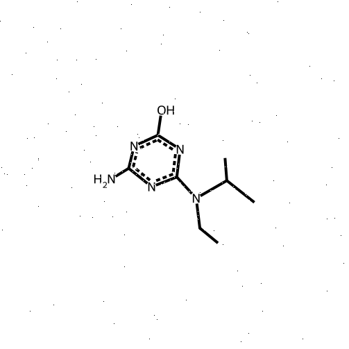 CCN(c1nc(N)nc(O)n1)C(C)C